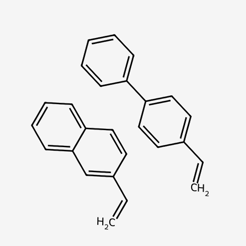 C=Cc1ccc(-c2ccccc2)cc1.C=Cc1ccc2ccccc2c1